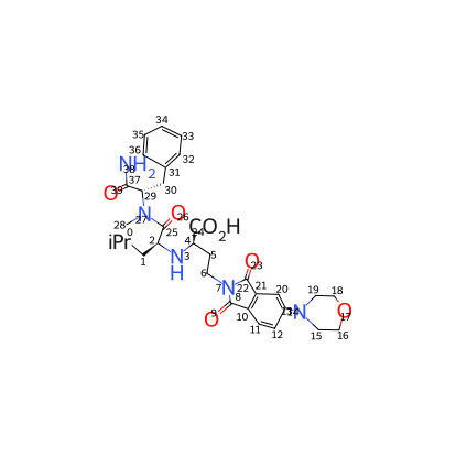 CC(C)C[C@H](N[C@H](CCN1C(=O)c2ccc(N3CCOCC3)cc2C1=O)C(=O)O)C(=O)N(C)[C@@H](Cc1ccccc1)C(N)=O